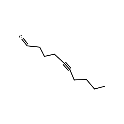 CCCCC#CCCCC=O